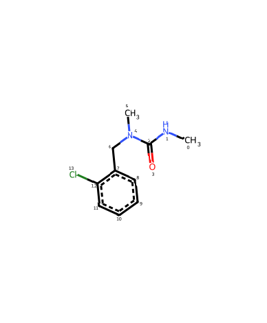 CNC(=O)N(C)Cc1ccccc1Cl